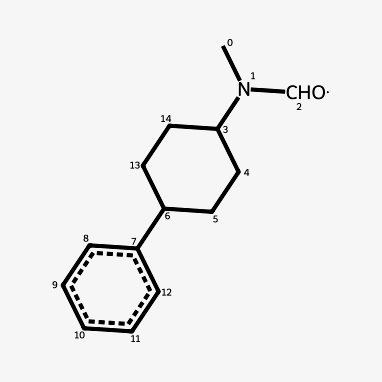 CN([C]=O)C1CCC(c2ccccc2)CC1